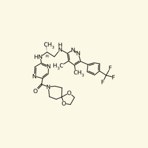 Cc1c(NC[C@@H](C)Nc2cnc(C(=O)N3CCC4(CC3)OCCO4)cn2)nnc(-c2ccc(C(F)(F)F)cc2)c1C